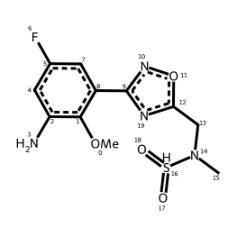 COc1c(N)cc(F)cc1-c1noc(CN(C)[SH](=O)=O)n1